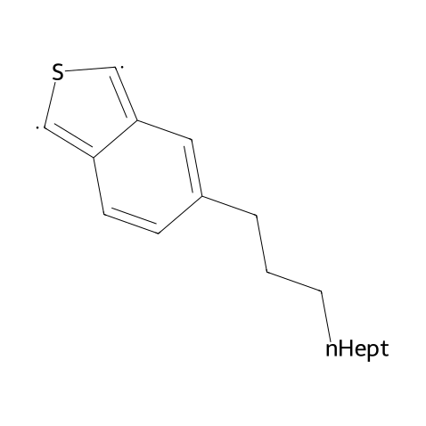 CCCCCCCCCCc1ccc2[c]s[c]c2c1